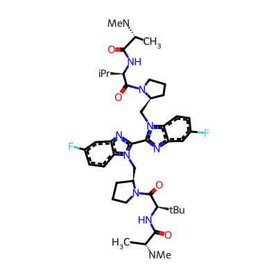 CN[C@H](C)C(=O)N[C@@H](C(=O)N1CCC[C@H]1Cn1c(-c2nc3cc(F)ccc3n2C[C@@H]2CCCN2C(=O)[C@H](NC(=O)[C@@H](C)NC)C(C)(C)C)nc2cc(F)ccc21)C(C)C